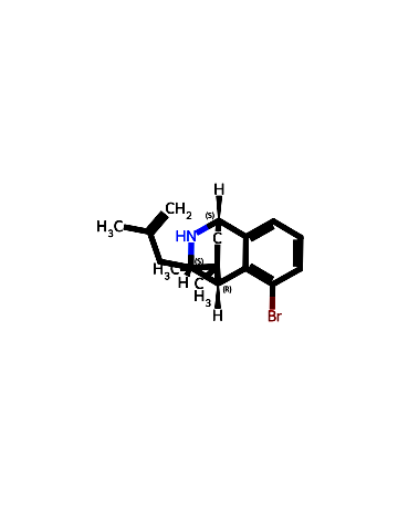 C=C(C)C[C@@H]1N[C@H]2CC(C)(C)[C@@H]1c1c(Br)cccc12